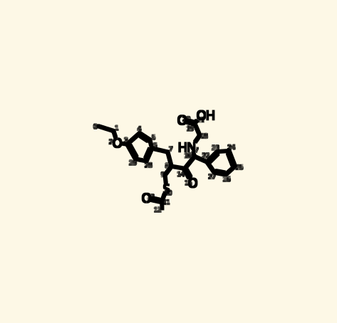 CCOc1ccc(CC(CSC(C)=O)C(=O)C(NCC(=O)O)c2ccccc2)cc1